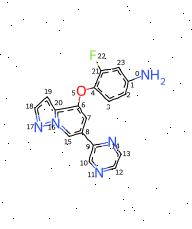 Nc1ccc(Oc2cc(-c3cnccn3)cn3nccc23)c(F)c1